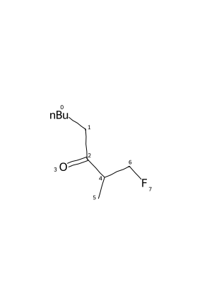 [CH2]CCCCC(=O)C(C)CF